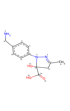 CC1=NN(c2ccc(CN)cc2)C(O)(C(=O)O)C1